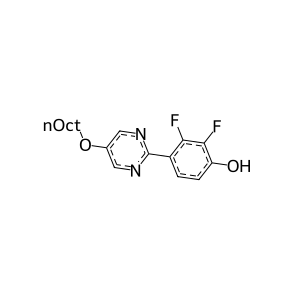 CCCCCCCCOc1cnc(-c2ccc(O)c(F)c2F)nc1